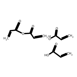 C=CC(=O)O.C=CC(=O)O.C=CC(=O)OC(=O)C=C